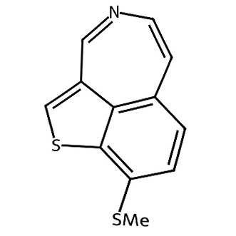 CSc1ccc2c3c(csc13)C=NC=C2